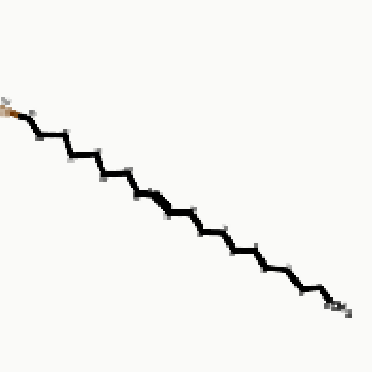 CCCCCCCCCC/C=C/CCCCCCCCBr